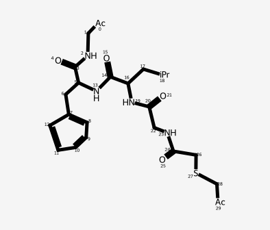 CC(=O)CNC(=O)C(Cc1ccccc1)NC(=O)C(CC(C)C)NC(=O)CNC(=O)CSCC(C)=O